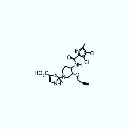 C#CCOC1CN(C2(C)NC=C(C(=O)O)S2)CCC1NC(=O)c1[nH]c(C)c(Cl)c1Cl